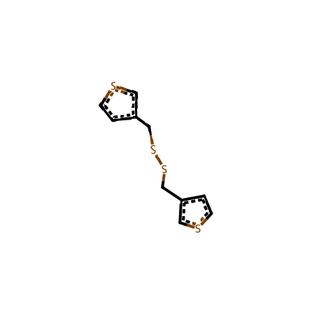 c1cc(CSSCc2ccsc2)cs1